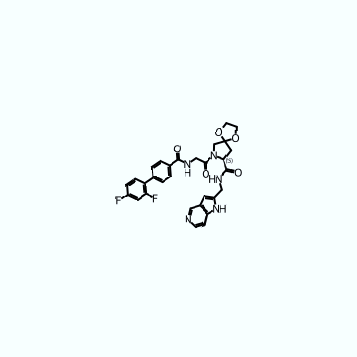 O=C(NCC(=O)N1CC2(C[C@H]1C(=O)NCc1cc3cnccc3[nH]1)OCCO2)c1ccc(-c2ccc(F)cc2F)cc1